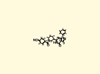 Cc1nn(-c2ccccc2)c2nc(C3CCCN(C(=O)c4ccc(C#N)cc4)C3)[nH]c(=O)c12